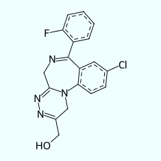 OCC1=NN=C2CN=C(c3ccccc3F)c3cc(Cl)ccc3N2C1